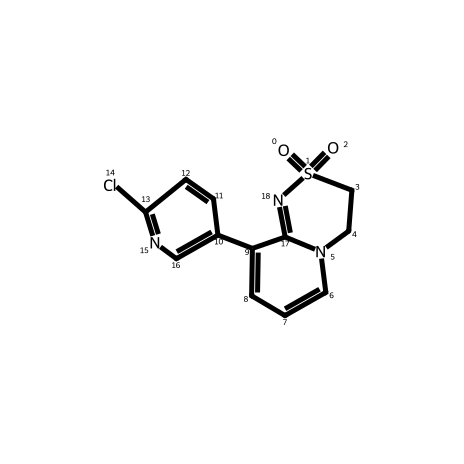 O=S1(=O)CCN2C=CC=C(c3ccc(Cl)nc3)C2=N1